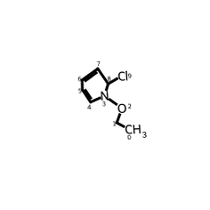 CCON1C=CC=CC1Cl